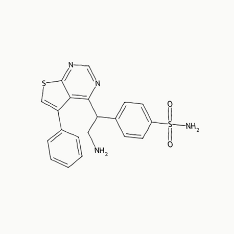 NCC(c1ccc(S(N)(=O)=O)cc1)c1ncnc2scc(-c3ccccc3)c12